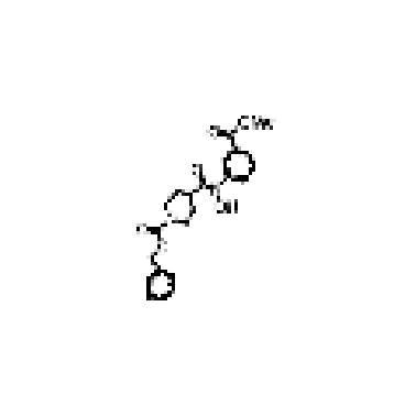 COC(=O)c1cccc(N(O)C(=O)C2CCN(C(=O)OCc3ccccc3)CC2)c1